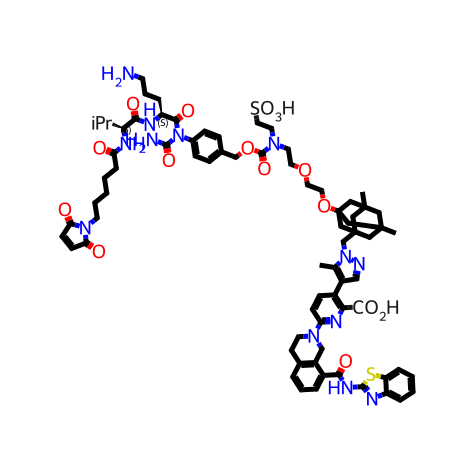 Cc1c(-c2ccc(N3CCc4cccc(C(=O)Nc5nc6ccccc6s5)c4C3)nc2C(=O)O)cnn1CC12CC3(C)CC(C)(C1)CC(OCCOCCN(CCS(=O)(=O)O)C(=O)OCc1ccc(N(C(N)=O)C(=O)[C@H](CCCN)NC(=O)[C@@H](NC(=O)CCCCCN4C(=O)C=CC4=O)C(C)C)cc1)(C3)C2